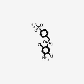 Nc1cc(Cl)c(S(=O)(=O)Cc2ccc(S(N)(=O)=O)cc2)cc1Cl